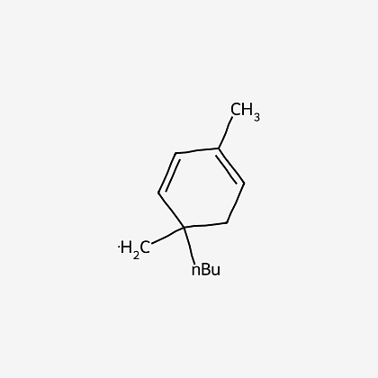 [CH2]C1(CCCC)C=CC(C)=CC1